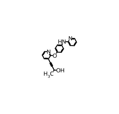 CC(O)C#Cc1cccnc1Oc1ccc(Nc2ccccn2)cc1